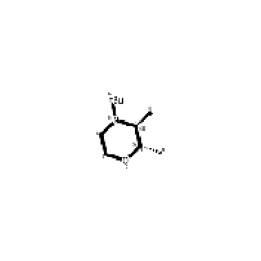 C[C@@H]1OCCN(C(C)(C)C)[C@H]1C